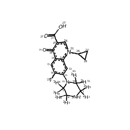 [2H]C1([2H])NC([2H])([2H])C([2H])([2H])N(c2cc3c(cc2F)c(=O)c(C(=O)O)cn3C2CC2)C1([2H])[2H]